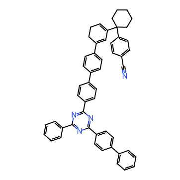 N#Cc1ccc(C2(C3=CCCC(c4ccc(-c5ccc(-c6nc(-c7ccccc7)nc(-c7ccc(-c8ccccc8)cc7)n6)cc5)cc4)=C3)CCCCC2)cc1